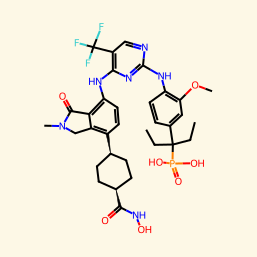 CCC(CC)(c1ccc(Nc2ncc(C(F)(F)F)c(Nc3ccc([C@H]4CC[C@@H](C(=O)NO)CC4)c4c3C(=O)N(C)C4)n2)c(OC)c1)P(=O)(O)O